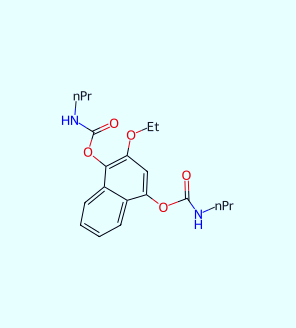 CCCNC(=O)Oc1cc(OCC)c(OC(=O)NCCC)c2ccccc12